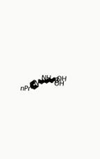 CCCC1CCN(CCC(N)CCCCB(O)O)CC1